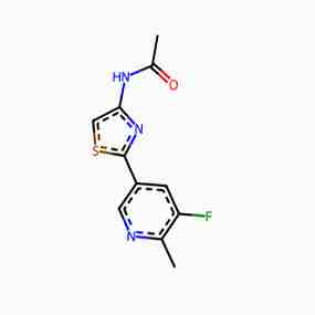 CC(=O)Nc1csc(-c2cnc(C)c(F)c2)n1